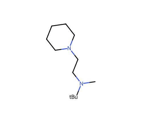 CN(CCN1CCCCC1)C(C)(C)C